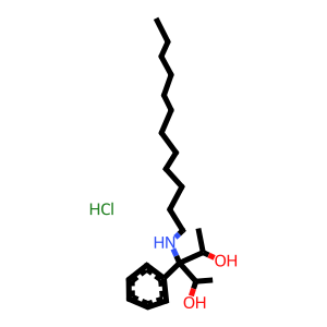 CCCCCCCCCCCCNC(c1ccccc1)(C(C)O)C(C)O.Cl